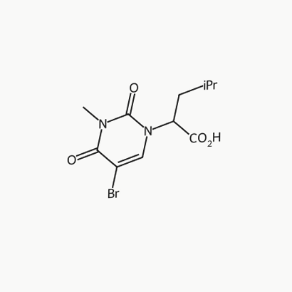 CC(C)CC(C(=O)O)n1cc(Br)c(=O)n(C)c1=O